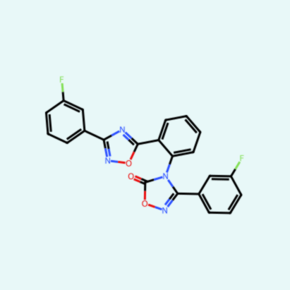 O=c1onc(-c2cccc(F)c2)n1-c1ccccc1-c1nc(-c2cccc(F)c2)no1